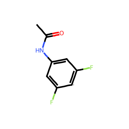 CC(=O)Nc1cc(F)[c]c(F)c1